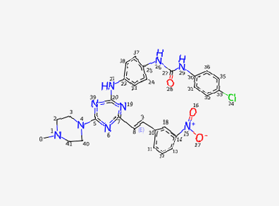 CN1CCN(c2nc(/C=C/c3cccc([N+](=O)[O-])c3)nc(Nc3ccc(NC(=O)Nc4ccc(Cl)cc4)cc3)n2)CC1